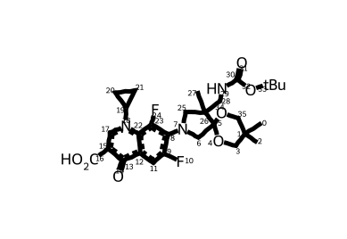 CC1(C)COC2(CN(c3c(F)cc4c(=O)c(C(=O)O)cn(C5CC5)c4c3F)CC2(C)CNC(=O)OC(C)(C)C)OC1